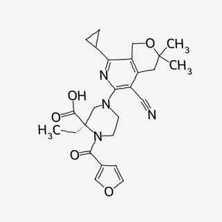 CC[C@]1(C(=O)O)CN(c2nc(C3CC3)c3c(c2C#N)CC(C)(C)OC3)CCN1C(=O)c1ccoc1